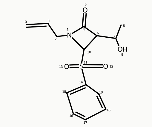 C=CCN1C(=O)C(C(C)O)C1S(=O)(=O)c1ccccc1